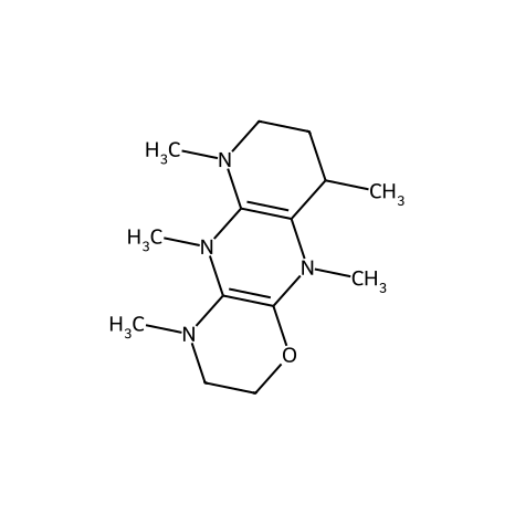 CC1CCN(C)C2=C1N(C)C1=C(N(C)CCO1)N2C